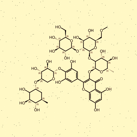 COC[C@H]1O[C@@H](OC2[C@H](Oc3c(-c4cc(O)c(O[C@@H]5OC[C@@H](O[C@@H]6C[C@@H](C)[C@H](O)[C@@H](O)C6O)[C@H](O)[C@H]5O)c(O)c4)oc4cc(O)cc(O)c4c3=O)O[C@@H](C)[C@H](O)[C@H]2O)[C@H](O[C@@H]2O[C@H](CO)[C@@H](O)[C@H](O)[C@H]2O)[C@@H](O)[C@@H]1O